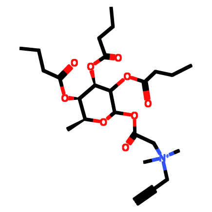 C#CC[N+](C)(C)CC(=O)OC1O[C@@H](C)[C@@H](OC(=O)CCC)[C@@H](OC(=O)CCC)C1OC(=O)CCC